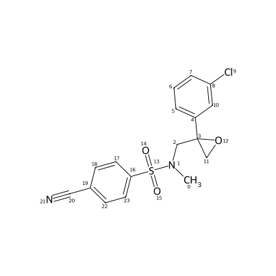 CN(CC1(c2cccc(Cl)c2)CO1)S(=O)(=O)c1ccc(C#N)cc1